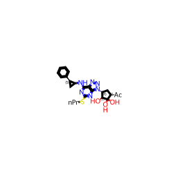 CCCSc1nc(NC2C[C@H]2c2ccccc2)c2nnn([C@@H]3C[C@H](C(C)=O)C(O)(O)[C@H]3O)c2n1